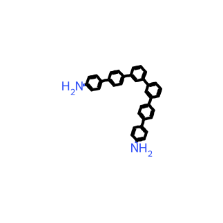 Nc1ccc(-c2ccc(-c3cccc(-c4cccc(-c5ccc(-c6ccc(N)cc6)cc5)c4)c3)cc2)cc1